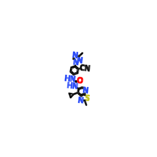 Cc1ncn(-c2ccc(NC(=O)Nc3cnc4sc(C)nc4c3C3CC3)cc2C#N)n1